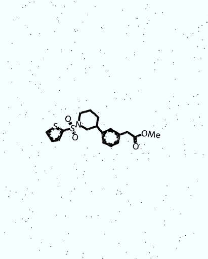 COC(=O)Cc1cccc(C2CCCN(S(=O)(=O)c3cccs3)C2)c1